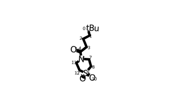 CC(C)(C)CCCC(=O)N1CCS(=O)(=O)CC1